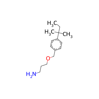 CCC(C)(C)c1ccc(COCCCN)cc1